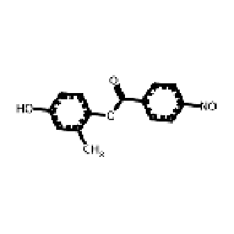 Cc1cc(O)ccc1OC(=O)c1ccc(N=O)cc1